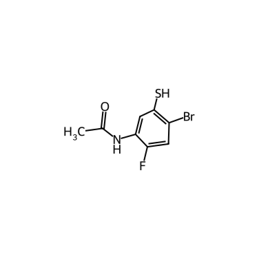 CC(=O)Nc1cc(S)c(Br)cc1F